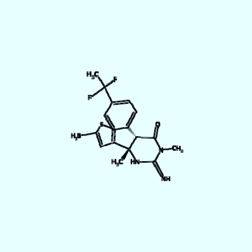 Bc1cc([C@@]2(C)NC(=N)N(C)C(=O)[C@H]2c2ccc(C(C)(F)F)cc2)cs1